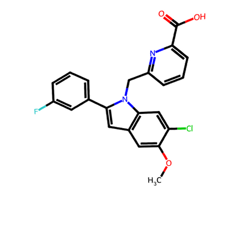 COc1cc2cc(-c3cccc(F)c3)n(Cc3cccc(C(=O)O)n3)c2cc1Cl